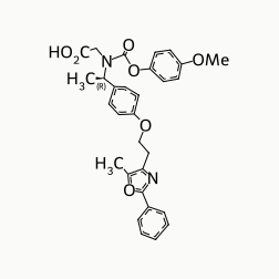 COc1ccc(OC(=O)N(CC(=O)O)[C@H](C)c2ccc(OCCc3nc(-c4ccccc4)oc3C)cc2)cc1